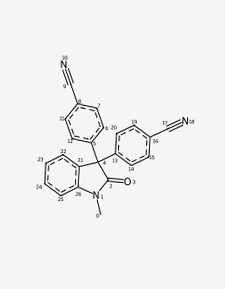 CN1C(=O)C(c2ccc(C#N)cc2)(c2ccc(C#N)cc2)c2ccccc21